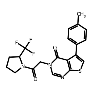 Cc1ccc(-c2csc3ncn(CC(=O)N4CCCC4C(F)(F)F)c(=O)c23)cc1